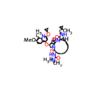 COc1ccc2c(O[C@@H]3C[C@H]4C(=O)N[C@]5(C(=O)NSC6(C)CC6)C[C@H]5/C=C\CCCCC[C@H](NC(=O)N(C)C)C(=O)N4C3)cc(OC3CC3)nc2c1C